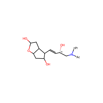 CCCN(C[C@@H](O)C=CC1C(O)CC2OC(O)CC21)C(C)=O